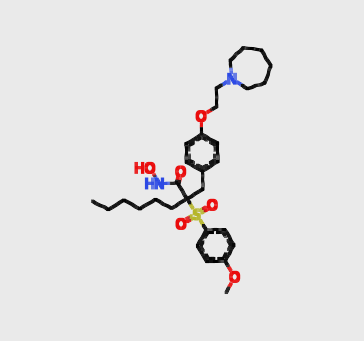 CCCCCCC(Cc1ccc(OCCN2CCCCCC2)cc1)(C(=O)NO)S(=O)(=O)c1ccc(OC)cc1